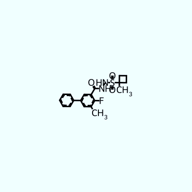 Cc1cc(-c2ccccc2)cc(C(=O)NNS(=O)(=O)C2(C)CCC2)c1F